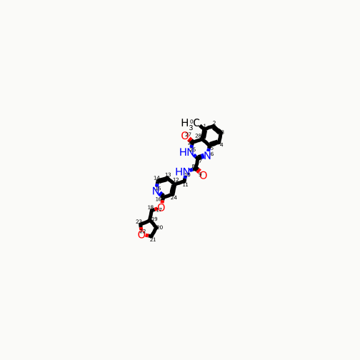 Cc1cccc2nc(C(=O)NCc3ccnc(OCC4CCOC4)c3)[nH]c(=O)c12